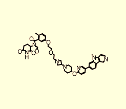 Cc1ccc(OCCOCCN2CC(N3CCC(Oc4ccc(-c5ccc6c7cnccc7n(C)c6c5)cn4)CC3)C2)cc1C(=O)N(C=O)C1CCC(=O)NC1=O